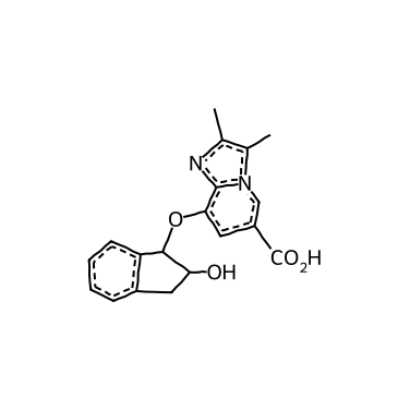 Cc1nc2c(OC3c4ccccc4CC3O)cc(C(=O)O)cn2c1C